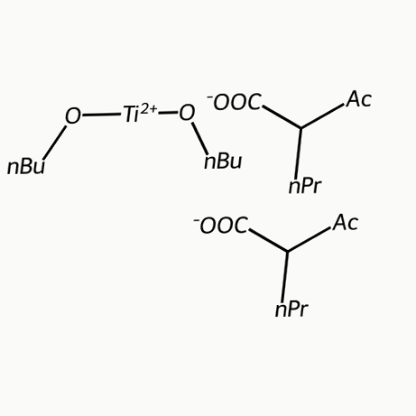 CCCC(C(C)=O)C(=O)[O-].CCCC(C(C)=O)C(=O)[O-].CCCC[O][Ti+2][O]CCCC